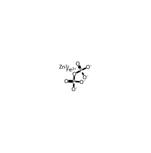 O=P([O-])([O-])OP(=O)([O-])[O-].[Fe+2].[Zn+2]